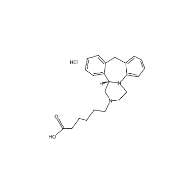 Cl.O=C(O)CCCCCN1CCN2c3ccccc3Cc3ccccc3[C@H]2C1